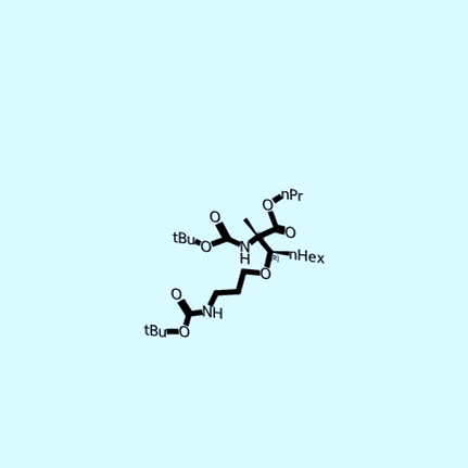 CCCCCC[C@@H](OCCCNC(=O)OC(C)(C)C)[C@](C)(NC(=O)OC(C)(C)C)C(=O)OCCC